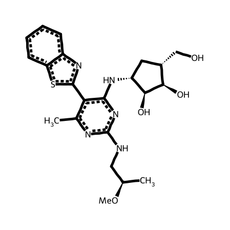 CO[C@H](C)CNc1nc(C)c(-c2nc3ccccc3s2)c(N[C@@H]2C[C@H](CO)[C@@H](O)[C@H]2O)n1